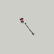 CN1C[C@H](CNC(=O)CCCCCCCCCCCCC=CC(O)C(N)CO)C=C2c3cccc4c3C(CN4)C[C@H]21